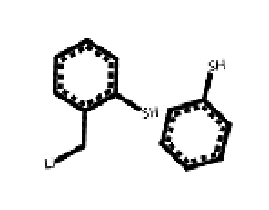 Sc1ccccc1.[Li][CH2]c1ccccc1S